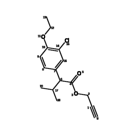 C#CCOC(=O)C(c1ccc(OCC)c(Cl)c1)C(C)C